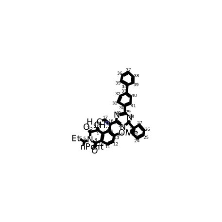 C=C1C(=O)N(C(CC)CCCCC)C(=O)c2ccc(OC)c(/C(=C\C)c3nc(-c4ccccc4)nc(-c4ccc(-c5ccccc5)cc4)n3)c21